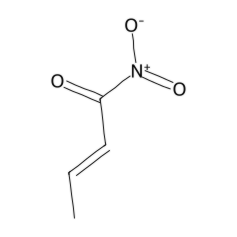 CC=CC(=O)[N+](=O)[O-]